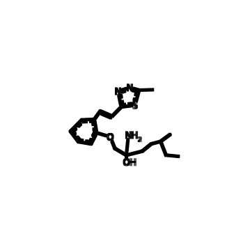 CCC(C)CCC(N)(O)COc1ccccc1C=Cc1nnc(C)s1